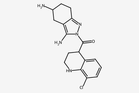 Nc1c2c(nn1C(=O)C1CCNc3c(Cl)cccc31)CCC(N)C2